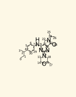 CCC(C)c1ccc(Nc2nc(N3CCOC(C)C3)nc3c2CN(C(C)C)C3=O)cc1